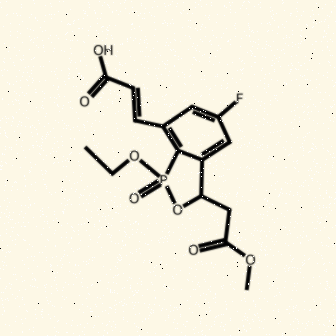 CCOP1(=O)OC(CC(=O)OC)c2cc(F)cc(C=CC(=O)O)c21